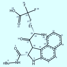 CCCCNC(=O)[C@H]1Nc2ccc3ccccc3c2C1C(=O)[C@@H](N)CC.O=C(O)C(F)(F)F